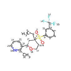 CCC1(S(=O)(=O)c2cccc(C(F)(F)F)c2)CCOC(c2cccnc2C)C1